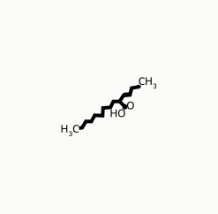 CCCC=CC(CCCCCCCCC)C(=O)O